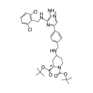 CC(C)(C)OC(=O)[C@H]1CC(NCc2ccc(-c3cnc(N)c(NCc4c(Cl)cccc4Cl)n3)cc2)CCN1C(=O)OC(C)(C)C